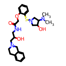 CN(C)C1CN(Sc2ccccc2OCC(=O)NCC(O)CN2CCc3ccccc3C2)CC1O